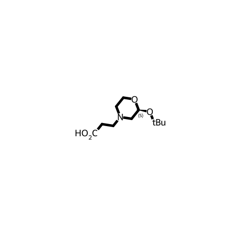 CC(C)(C)O[C@H]1CN(CCC(=O)O)CCO1